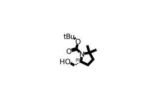 CC(C)(C)OC(=O)N1[C@@H](CO)CCC1(C)C